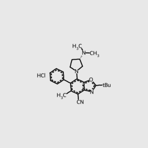 Cc1c(-c2ccccc2)c(N2CC[C@H](N(C)C)C2)c2oc(C(C)(C)C)nc2c1C#N.Cl